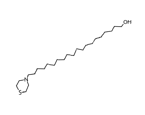 OCCCCCCCCCCCCCCCCCCCCN1CCSCC1